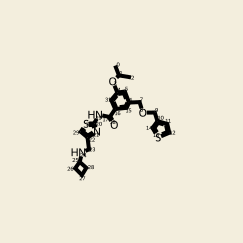 CC(C)Oc1cc(COCc2ccsc2)cc(C(=O)Nc2nc(CNC3CCC3)cs2)c1